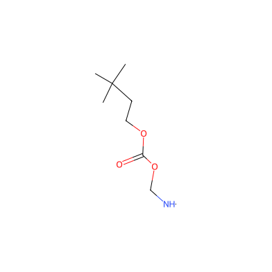 CC(C)(C)CCOC(=O)OC[NH]